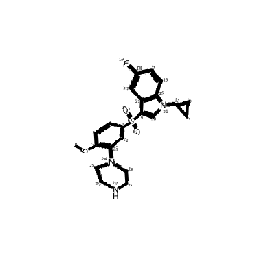 COc1ccc(S(=O)(=O)c2cn(C3CC3)c3ccc(F)cc23)cc1N1CCNCC1